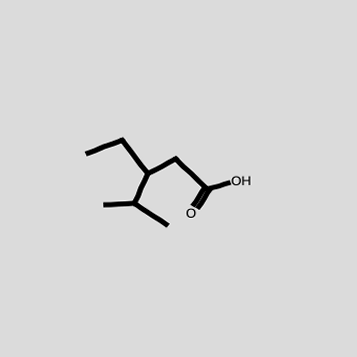 CCC(CC(=O)O)[C](C)C